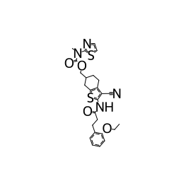 CCOc1ccccc1CCC(=O)Nc1sc2c(c1C#N)CCC(COC(=O)N(C)c1nccs1)C2